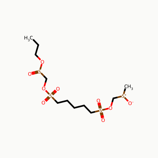 CCCOS(=O)COS(=O)(=O)CCCCCS(=O)(=O)OC[S+](C)[O-]